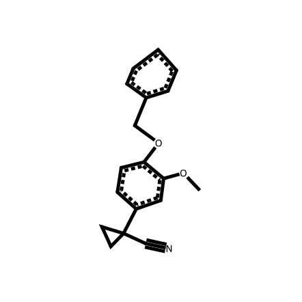 COc1cc(C2(C#N)CC2)ccc1OCc1ccccc1